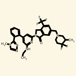 CCNc1cc(-c2ccccc2-c2nncn2C)cc(N2Cc3c(cc(CN4CCC(F)(F)C(C)C4)cc3C(F)(F)F)C2=O)n1